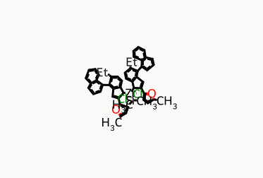 CCc1ccc2c(c1-c1cccc3ccccc13)C=C(c1ccc(C)o1)[CH]2[Zr]([Cl])([Cl])([CH]1C(c2ccc(C)o2)=Cc2c1ccc(CC)c2-c1cccc2ccccc12)=[Si](C)C